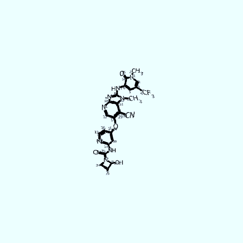 Cn1cc(C(F)(F)F)cc(Nc2nc3ncc(Oc4ccnc(NC(=O)N5CCC5O)c4)c(C#N)c3n2C)c1=O